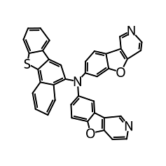 c1ccc2c(c1)sc1c3ccccc3c(N(c3ccc4c(c3)oc3ccncc34)c3ccc4oc5ccncc5c4c3)cc21